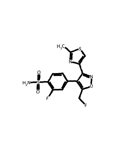 Cc1nc(-c2noc(CF)c2-c2ccc(S(N)(=O)=O)c(F)c2)cs1